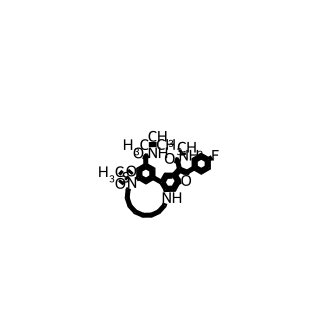 CNC(=O)c1c(-c2ccc(F)cc2)oc2cc3c(cc12)-c1cc(C(=O)NC(C)(C)C)cc(c1)N(S(C)(=O)=O)CCCCCCCCN3